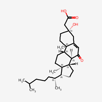 CC(C)CCC[C@@H](C)[C@H]1CC[C@H]2[C@@H]3C(=O)C=C4C[C@](O)(CC(=O)O)CC[C@]4(C)[C@H]3CC[C@]12C